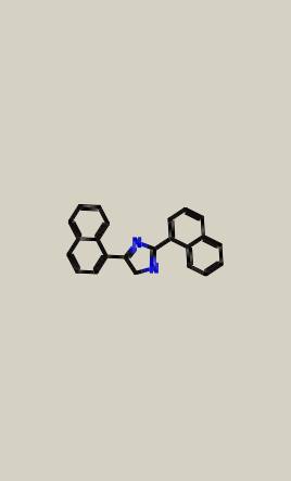 c1ccc2c(C3=NC(c4cccc5ccccc45)=NC3)cccc2c1